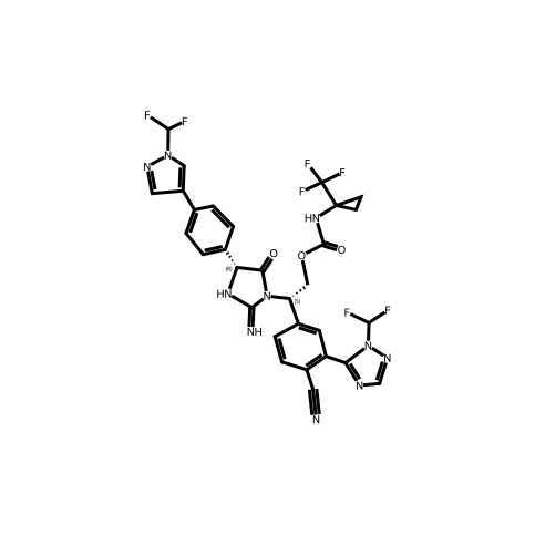 N#Cc1ccc([C@@H](COC(=O)NC2(C(F)(F)F)CC2)N2C(=N)N[C@H](c3ccc(-c4cnn(C(F)F)c4)cc3)C2=O)cc1-c1ncnn1C(F)F